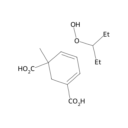 CC1(C(=O)O)C=CC=C(C(=O)O)C1.CCC(CC)OO